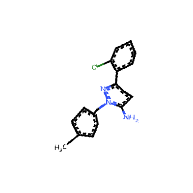 Cc1ccc(-n2nc(-c3ccccc3Cl)cc2N)cc1